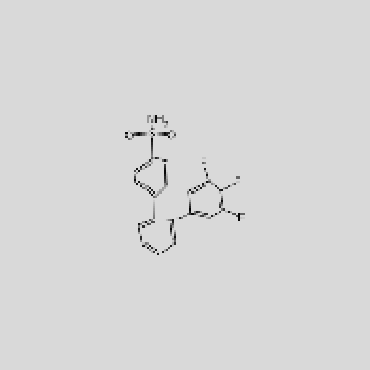 NS(=O)(=O)c1ccc(-c2ccccc2-c2cc(F)c(F)c(F)c2)cc1